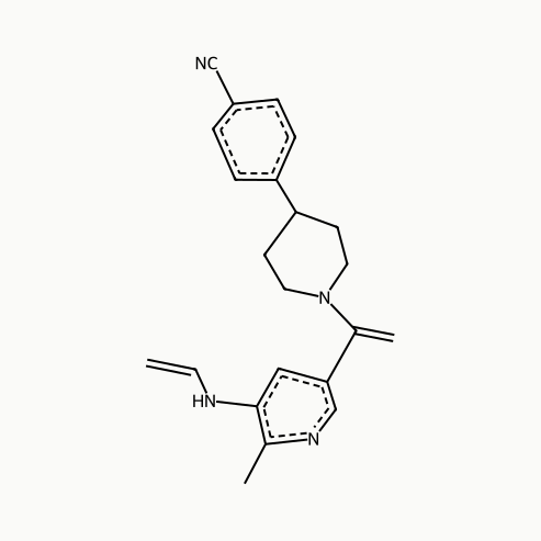 C=CNc1cc(C(=C)N2CCC(c3ccc(C#N)cc3)CC2)cnc1C